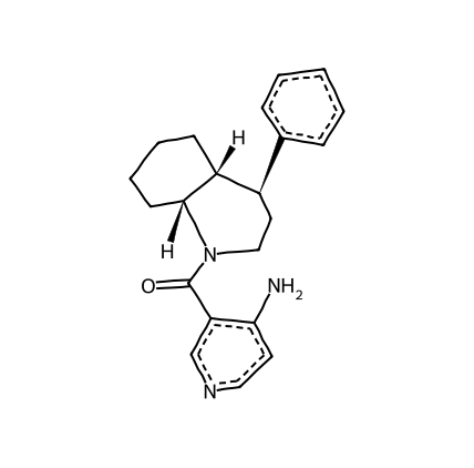 Nc1ccncc1C(=O)N1CC[C@H](c2ccccc2)[C@H]2CCCC[C@H]21